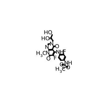 Cn1c(=O)c(F)c(Nc2ccc(NS(C)(=O)=O)cc2F)c2c(=O)n(C[C@@H](O)CO)cnc21